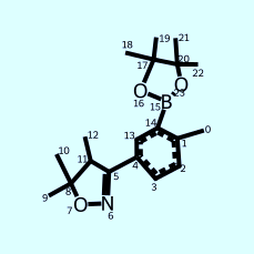 Cc1ccc(C2=NOC(C)(C)C2C)cc1B1OC(C)(C)C(C)(C)O1